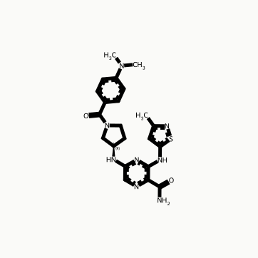 Cc1cc(Nc2nc(N[C@@H]3CCN(C(=O)c4ccc(N(C)C)cc4)C3)cnc2C(N)=O)sn1